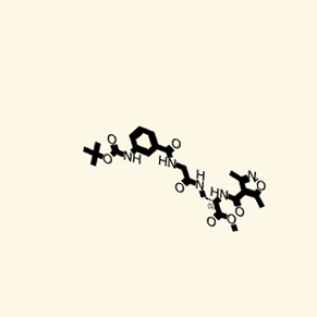 COC(=O)[C@H](CNC(=O)CNC(=O)c1cccc(NC(=O)OC(C)(C)C)c1)NC(=O)c1c(C)noc1C